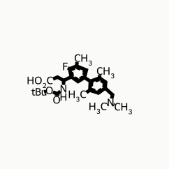 Cc1cc(-c2c(C)cc(CN(C)C)cc2C)cc(C(CC(=O)O)NC(=O)OC(C)(C)C)c1F